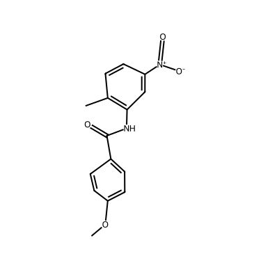 COc1ccc(C(=O)Nc2cc([N+](=O)[O-])ccc2C)cc1